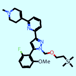 COc1cccc(F)c1-c1cc(-c2cccc(C3=CCN(C)CC3)n2)nn1COCC[Si](C)(C)C